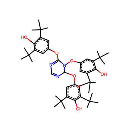 CC(C)(C)c1cc(OC2=NC=NC(Oc3cc(C(C)(C)C)c(O)c(C(C)(C)C)c3)N2Oc2cc(C(C)(C)C)c(O)c(C(C)(C)C)c2)cc(C(C)(C)C)c1O